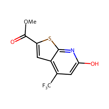 COC(=O)c1cc2c(C(F)(F)F)cc(O)nc2s1